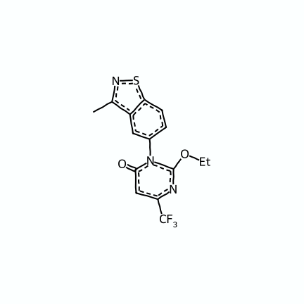 CCOc1nc(C(F)(F)F)cc(=O)n1-c1ccc2snc(C)c2c1